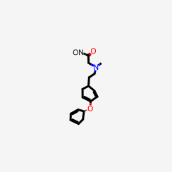 CN(CCC1C=CC(O[C@H]2C=CC=CC2)=CC1)CC(=O)N=O